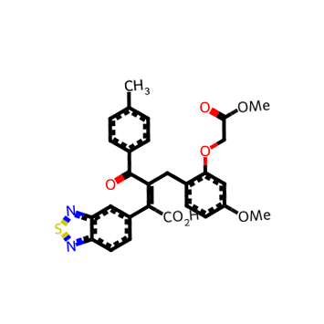 COC(=O)COc1cc(OC)ccc1CC(C(=O)c1ccc(C)cc1)=C(C(=O)O)c1ccc2nsnc2c1